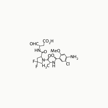 COc1cc(N)c(Cl)cc1C(=O)NC(C)C(=O)N1CC(F)(F)CC1C(=O)NC(C=O)CC(=O)O